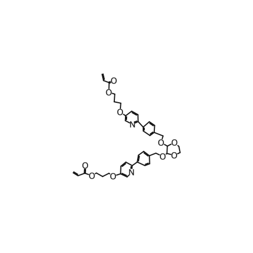 C=CC(=O)OCCCOc1ccc(-c2ccc(COC3OCCOC3OCc3ccc(-c4ccc(OCCCOC(=O)C=C)cn4)cc3)cc2)nc1